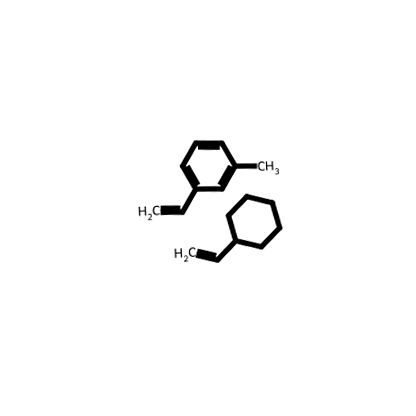 C=CC1CCCCC1.C=Cc1cccc(C)c1